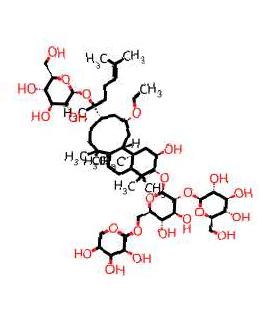 CCO[C@H]1C[C@@H](C(C)(CCC=C(C)C)O[C@@H]2O[C@H](CO)[C@@H](O)[C@H](O)[C@H]2O)CCC(C)(C)C2(C)CCC3C(C)(C)[C@@H](O[C@@H]4O[C@H](COC5OCC(O)C(O)[C@@H]5O)[C@@H](O)[C@H](O)[C@H]4O[C@@H]4O[C@H](CO)[C@@H](O)[C@H](O)[C@H]4O)[C@H](O)C[C@]3(C)[C@H]2C1